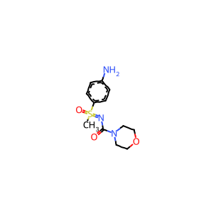 CS(=O)(=NC(=O)N1CCOCC1)c1ccc(N)cc1